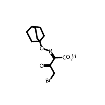 O=C(O)/C(=N/OC12CCC(CC1)CC2)C(=O)CBr